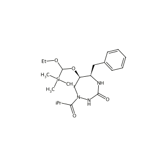 CCOC(O[C@@H]1CN(C(=O)C(C)C)NC(=O)N[C@@H]1Cc1ccccc1)[Si](C)(C)C